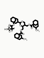 CC1CC2CCCC(C(=O)OCC3COC(C4CC5CCCC(OC(=O)C(F)(F)S(=O)(=O)O)(C5)C4)OC3COC(=O)C34CCCC(CC(C)C3)C4)(C1)C2